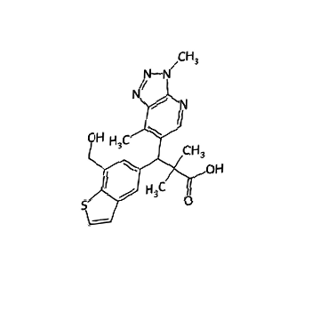 Cc1c(C(c2cc(CO)c3sccc3c2)C(C)(C)C(=O)O)cnc2c1nnn2C